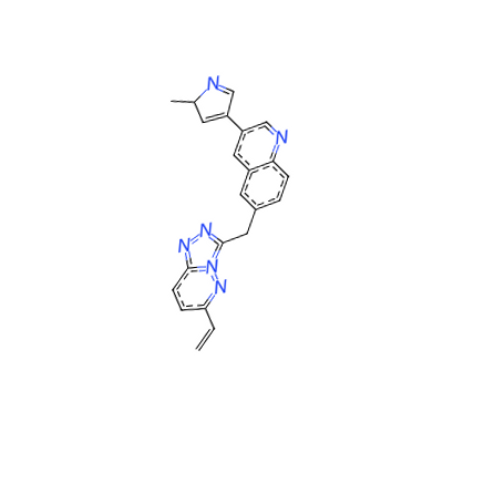 C=Cc1ccc2nnc(Cc3ccc4ncc(C5=CC(C)N=C5)cc4c3)n2n1